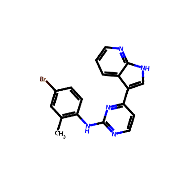 Cc1cc(Br)ccc1Nc1nccc(-c2c[nH]c3ncccc23)n1